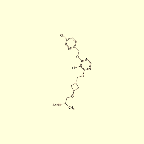 CC(=O)N[C@@H](C)CO[C@H]1C[C@H](COc2ncnc(OCc3ncc(Cl)cn3)c2Cl)C1